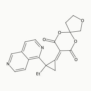 CCC1(c2nccc3cnccc23)CC1=C1C(=O)OC2(CCOC2)OC1=O